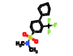 CN(C)S(=O)(=O)c1ccc(-c2ccccc2)c(C(F)(F)F)c1